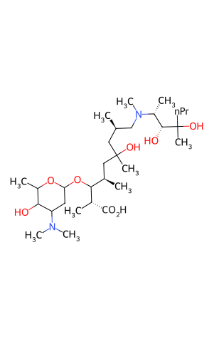 CCCC(C)(O)[C@H](O)[C@@H](C)N(C)C[C@H](C)CC(C)(O)C[C@@H](C)C(OC1CC(N(C)C)C(O)C(C)O1)[C@@H](C)C(=O)O